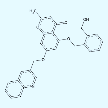 Cc1cc(=O)c2c(OCc3ccccc3CO)cc(OCc3cnc4ccccc4c3)cc2o1